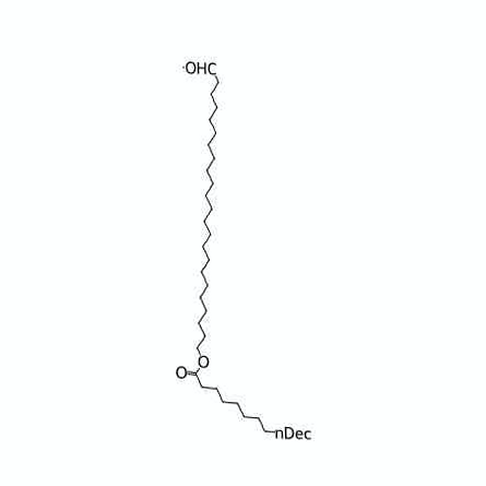 CCCCCCCCCCCCCCCCCC(=O)OCCCCCCCCCCCCCCCCCCCCCC[C]=O